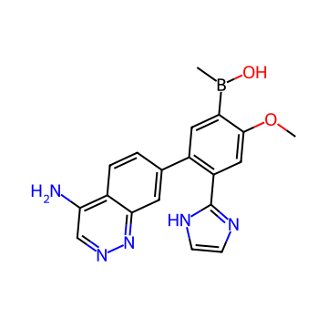 COc1cc(-c2ncc[nH]2)c(-c2ccc3c(N)cnnc3c2)cc1B(C)O